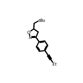 CCC#Cc1ccc(C2=NOC(CC(C)(C)C)C2)cc1